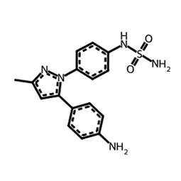 Cc1cc(-c2ccc(N)cc2)n(-c2ccc(NS(N)(=O)=O)cc2)n1